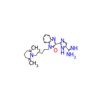 C[C@@H]1CCC[C@H](C)N1CCCCCn1c(=O)c(-c2ncc(C(=N)N)[nH]2)nc2ccccc21